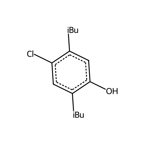 CCC(C)c1cc(Cl)c(C(C)CC)cc1O